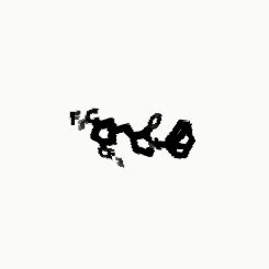 O=C1C(Cc2cc(C(F)(F)F)cc(C(F)(F)F)c2)CCN1C1C2CC3CC(C2)CC1C3